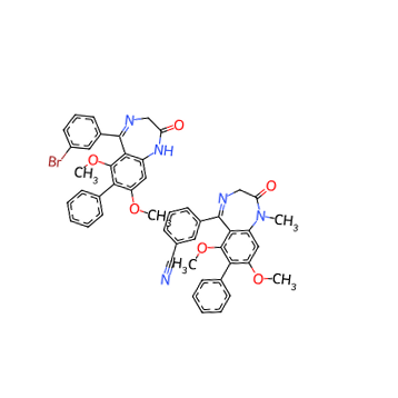 COc1cc2c(c(OC)c1-c1ccccc1)C(c1cccc(Br)c1)=NCC(=O)N2.COc1cc2c(c(OC)c1-c1ccccc1)C(c1cccc(C#N)c1)=NCC(=O)N2C